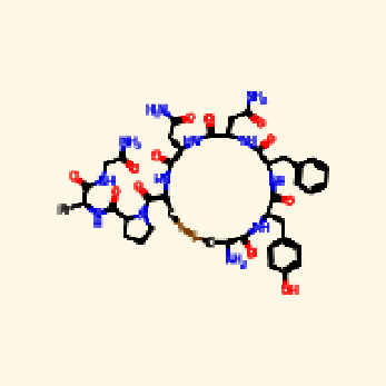 CC(C)C(NC(=O)C1CCCN1C(=O)C1CSSCC(N)C(=O)NC(Cc2ccc(O)cc2)C(=O)NC(Cc2ccccc2)C(=O)NC(CC(N)=O)C(=O)NC(CC(N)=O)C(=O)N1)C(=O)NCC(N)=O